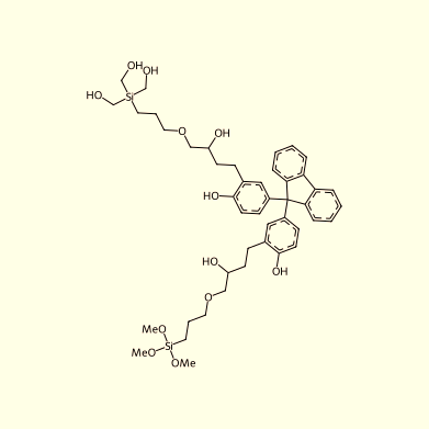 CO[Si](CCCOCC(O)CCc1cc(C2(c3ccc(O)c(CCC(O)COCCC[Si](CO)(CO)CO)c3)c3ccccc3-c3ccccc32)ccc1O)(OC)OC